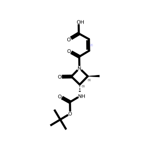 C[C@H]1[C@H](NC(=O)OC(C)(C)C)C(=O)N1C(=O)/C=C\C(=O)O